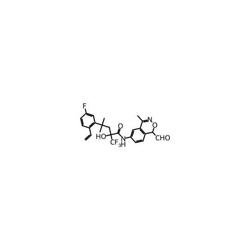 C=Cc1ccc(F)cc1C(C)(C)CC(O)(C(=O)Nc1ccc2c(c1)C(C)=NOC2C=O)C(F)(F)F